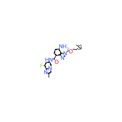 Cc1cn2cc(NC(=O)c3ccc(N)c4c3ncn4COCC[Si](C)(C)C)cc(F)c2n1